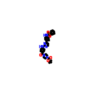 CC(C)(C)OC(=O)N1CCN(C(=O)c2ccc(Nc3nccc(-c4ccc(NS(=O)(=O)c5ccccc5)cc4)n3)cc2)CC1